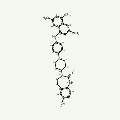 Cc1cc(C)c2nc(C)cc(Nc3ccc(N4CCC(N5CCc6cc(C#N)ccc6NC5=O)CC4)cc3)c2c1